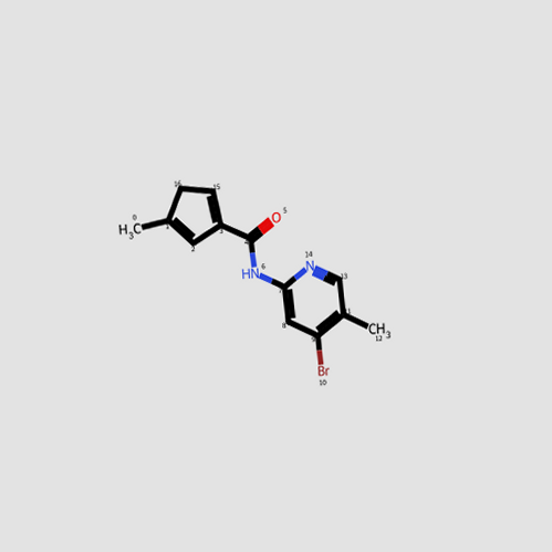 CC1=CC(C(=O)Nc2cc(Br)c(C)cn2)=CC1